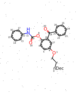 CCCCCCCCCCCCOc1ccc(OC(=O)Nc2ccccc2)c(C(=O)c2ccccc2)c1